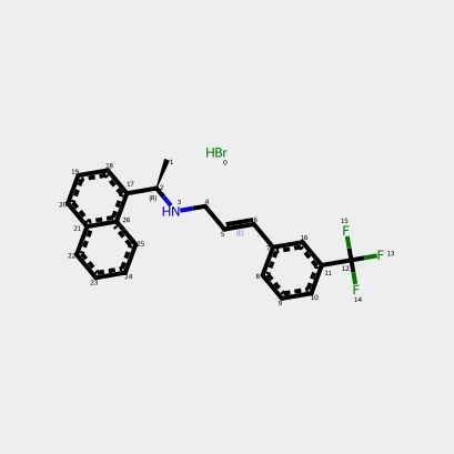 Br.C[C@@H](NC/C=C/c1cccc(C(F)(F)F)c1)c1cccc2ccccc12